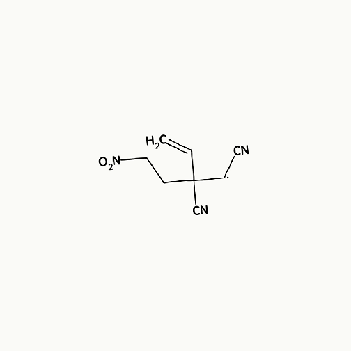 C=CC(C#N)([CH]C#N)CC[N+](=O)[O-]